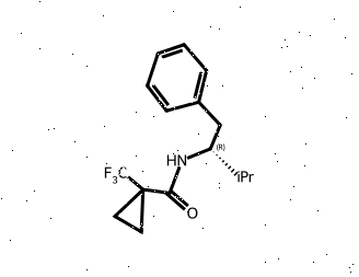 CC(C)[C@@H](Cc1ccccc1)NC(=O)C1(C(F)(F)F)CC1